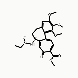 CC[S+]([O-])N[C@H]1CCc2cc(OC)c(OC)c(OC)c2-c2ccc(C(=O)OC)c(=O)cc21